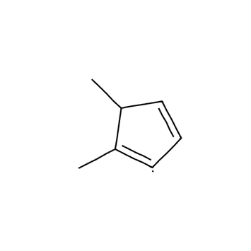 CC1=[C]C=CC1C